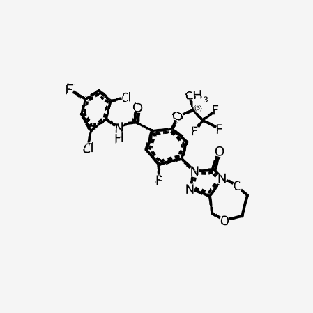 C[C@H](Oc1cc(-n2nc3n(c2=O)CCCOC3)c(F)cc1C(=O)Nc1c(Cl)cc(F)cc1Cl)C(F)(F)F